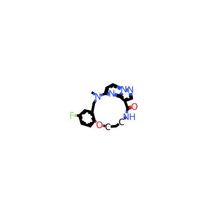 CN1Cc2cc(F)ccc2OCCCNC(=O)c2cnn3ccc1nc23